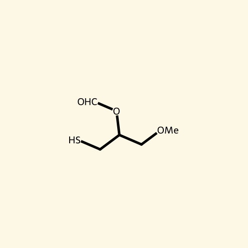 COCC(CS)OC=O